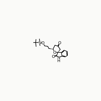 CC(C)(C)[Si](C)(C)OCCC[C@H]1CC(=O)C[C@]2(O1)C(=O)Nc1ccccc12